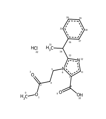 COC(=O)CCn1c(C(=O)O)cnc1C(C)c1ccccc1.Cl